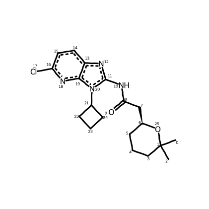 CC1(C)CCC[C@@H](CC(=O)Nc2nc3ccc(Cl)nc3n2C2CCC2)O1